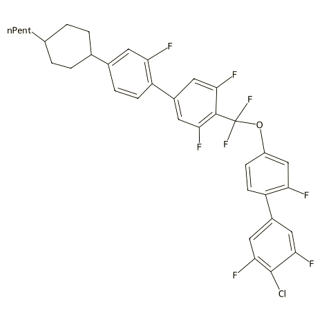 CCCCCC1CCC(c2ccc(-c3cc(F)c(C(F)(F)Oc4ccc(-c5cc(F)c(Cl)c(F)c5)c(F)c4)c(F)c3)c(F)c2)CC1